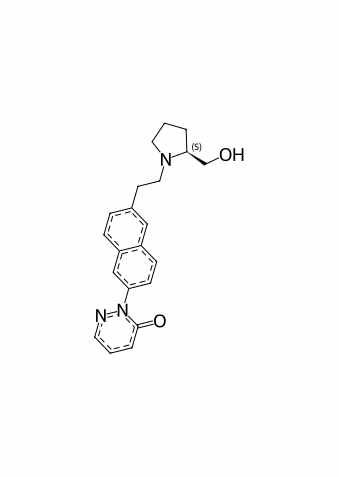 O=c1cccnn1-c1ccc2cc(CCN3CCC[C@H]3CO)ccc2c1